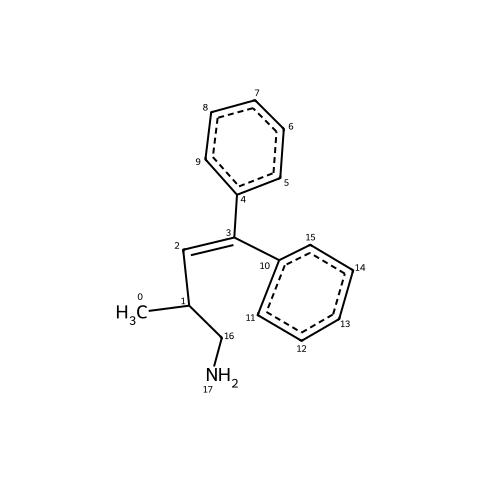 CC(C=C(c1ccccc1)c1ccccc1)CN